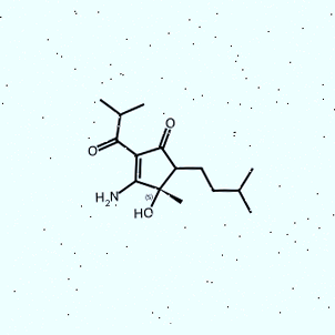 CC(C)CCC1C(=O)C(C(=O)C(C)C)=C(N)[C@@]1(C)O